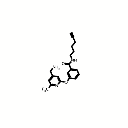 C#CCCCCNC(=O)c1cccc(Oc2cc(CN)cc(C(F)(F)F)n2)c1